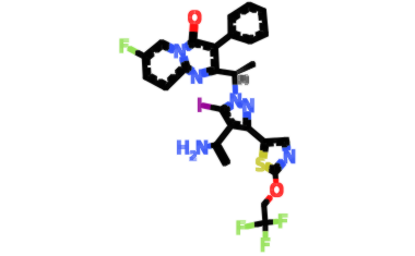 C=C(N)c1c(-c2cnc(OCC(F)(F)F)s2)nn([C@H](C)c2nc3ccc(F)cn3c(=O)c2-c2ccccc2)c1I